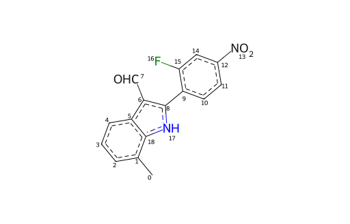 Cc1cccc2c(C=O)c(-c3ccc([N+](=O)[O-])cc3F)[nH]c12